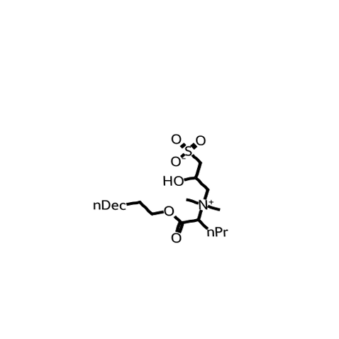 CCCCCCCCCCCCOC(=O)C(CCC)[N+](C)(C)CC(O)CS(=O)(=O)[O-]